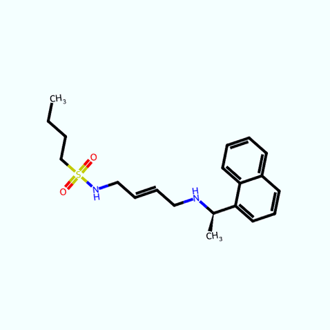 CCCCS(=O)(=O)NC/C=C/CN[C@H](C)c1cccc2ccccc12